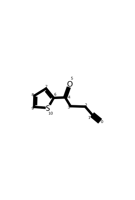 C#CCCC(=O)c1cccs1